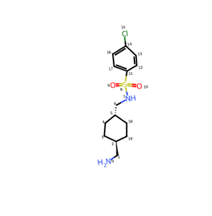 NC[C@H]1CC[C@H](CNS(=O)(=O)c2ccc(Cl)cc2)CC1